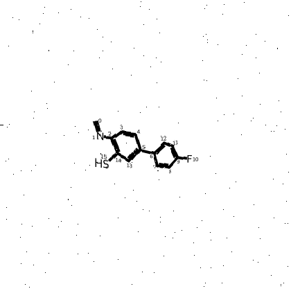 C=Nc1ccc(-c2ccc(F)cc2)cc1S